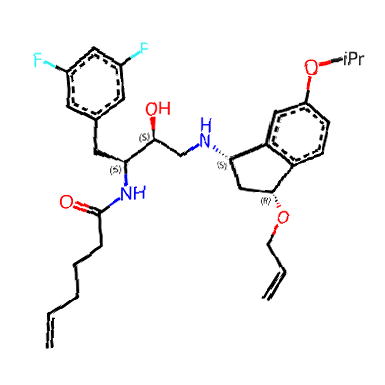 C=CCCCC(=O)N[C@@H](Cc1cc(F)cc(F)c1)[C@@H](O)CN[C@H]1C[C@@H](OCC=C)c2ccc(OC(C)C)cc21